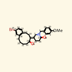 COc1ccc(CN2CC(C3CCc4ccc(Br)cc4CCCCC3=O)CCC2=O)cc1